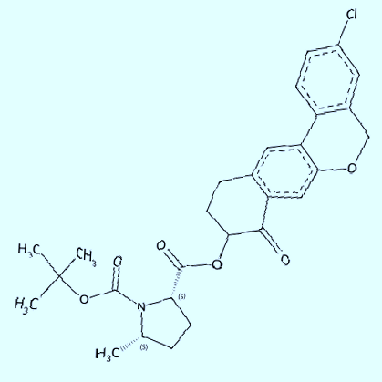 C[C@H]1CC[C@@H](C(=O)OC2CCc3cc4c(cc3C2=O)OCc2cc(Cl)ccc2-4)N1C(=O)OC(C)(C)C